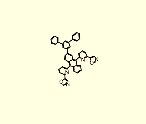 c1ccc(-c2cc(-c3ccccc3)cc(-c3ccc4c(-c5cccc(-c6cnco6)n5)c5ccccc5c(-c5cccc(-c6cnco6)n5)c4c3)c2)cc1